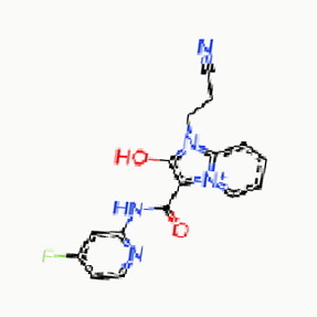 N#CCCn1c(O)c(C(=O)Nc2cc(F)ccn2)[n+]2ccccc12